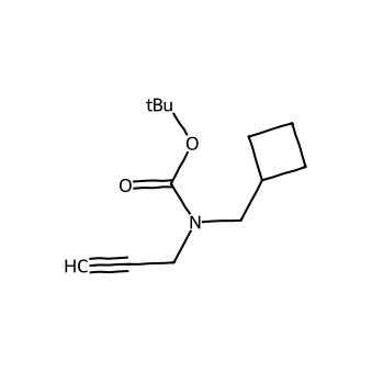 C#CCN(CC1CCC1)C(=O)OC(C)(C)C